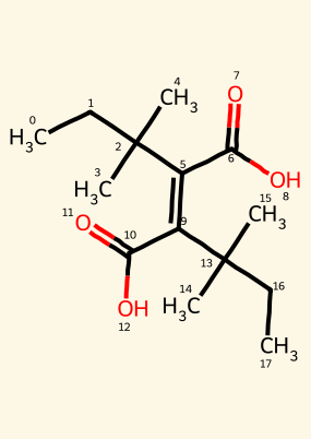 CCC(C)(C)C(C(=O)O)=C(C(=O)O)C(C)(C)CC